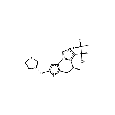 C[C@H]1Cn2nc(O[C@@H]3CCOC3)cc2-c2cnc(C(C)(O)C(F)(F)F)n21